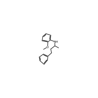 COc1ccccc1NC(C)CCc1ccccc1